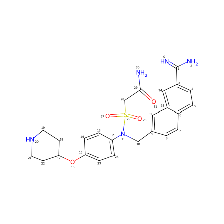 N=C(N)c1ccc2ccc(CN(c3ccc(OC4CCNCC4)cc3)S(=O)(=O)CC(N)=O)cc2c1